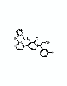 Cn1nccc1Nc1nccc(-c2ccn(C(CO)c3cccc(F)c3)c(=O)c2)n1